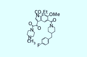 CCOC(=O)n1cc(C(=O)C(=O)N2CCN(C)CC2)c2cc(C(=O)N3CCC(Cc4ccc(F)cc4)CC3)c(OC)cc21